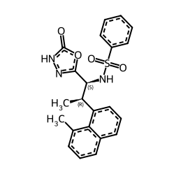 Cc1cccc2cccc([C@@H](C)[C@H](NS(=O)(=O)c3ccccc3)c3n[nH]c(=O)o3)c12